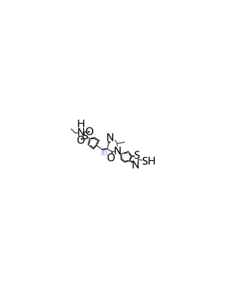 CCNS(=O)(=O)c1ccc(/C=C(\C#N)C(=O)N(c2ccc3nc(S)sc3c2)C(C)C)cc1